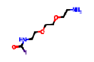 NCCOCCOCCNC(=O)I